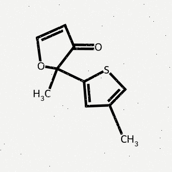 Cc1csc(C2(C)OC=CC2=O)c1